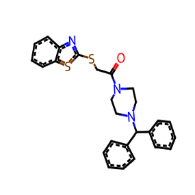 O=C(CSc1nc2ccccc2s1)N1CCN(C(c2ccccc2)c2ccccc2)CC1